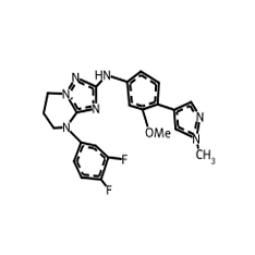 COc1cc(Nc2nc3n(n2)CCCN3c2ccc(F)c(F)c2)ccc1-c1cnn(C)c1